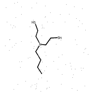 CCCCN(CCS)CCS